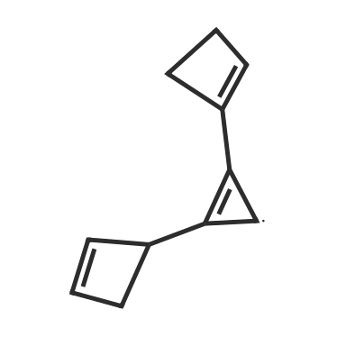 [CH]1C(C2=CCC2)=C1C1C=CC1